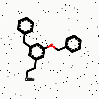 COCCc1cc(Cc2ccccc2)cc(OCc2ccccc2)c1